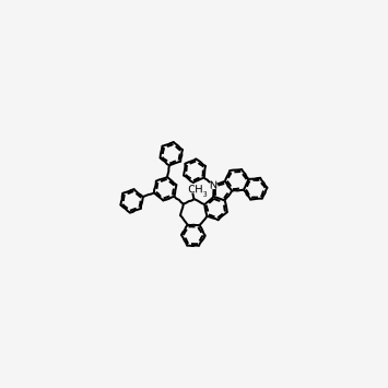 CC1c2c(ccc3c4c5ccccc5ccc4n(-c4ccccc4)c23)-c2ccccc2CC1c1cc(-c2ccccc2)cc(-c2ccccc2)c1